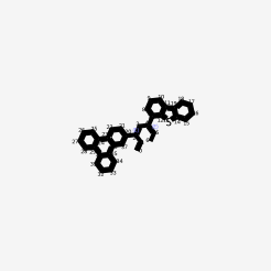 C=C/C(=C\C(=C/C)c1cccc2c1sc1ccccc12)c1ccc2c3ccccc3c3ccccc3c2c1